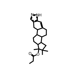 CCC(=O)OC1(C)C2CCC3C4Cc5cn[nH]c5C=C4CCC3C2CC1(C)C